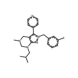 CC(C)CN1CN(C)Cc2c1nn(Cc1cccc(I)c1)c2-c1ccncc1